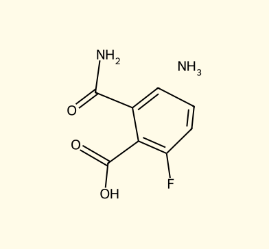 N.NC(=O)c1cccc(F)c1C(=O)O